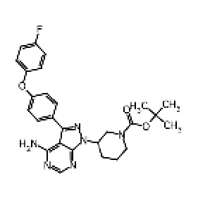 CC(C)(C)OC(=O)N1CCCC(n2nc(-c3ccc(Oc4ccc(F)cc4)cc3)c3c(N)ncnc32)C1